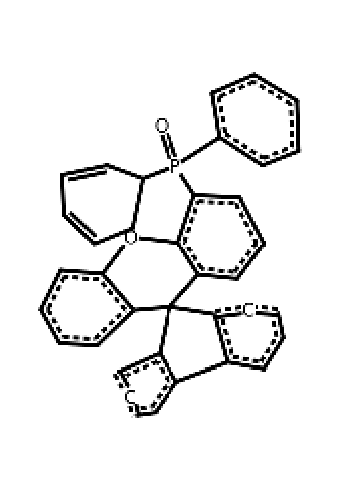 O=P(c1ccccc1)(c1cccc2c1Oc1ccccc1C21c2ccccc2-c2ccccc21)C1C=CC=CC1